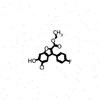 CCOC(=O)c1oc2cc(O)c(Cl)cc2c1-c1ccc(F)cc1